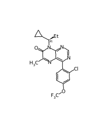 CC[C@H](C1CC1)n1c(=O)c(C)nc2c(-c3ccc(OC(F)(F)F)cc3Cl)ncnc21